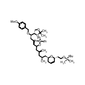 C=C(CC(/C=C/C[C@@H](OCc1ccc(OC)cc1)[C@@H]1COC(C)(C)O1)O[Si](C(C)C)(C(C)C)C(C)C)C[C@H](C)C[C@@H]1CC=C[C@@H](CCO[Si](C)(C)C(C)(C)C)O1